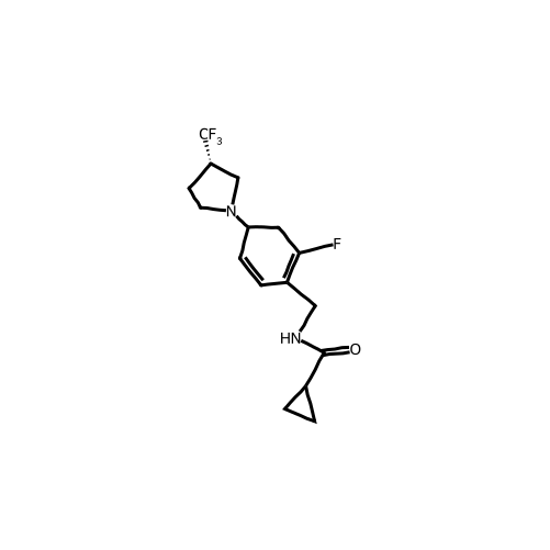 O=C(NCC1=C(F)CC(N2CC[C@H](C(F)(F)F)C2)C=C1)C1CC1